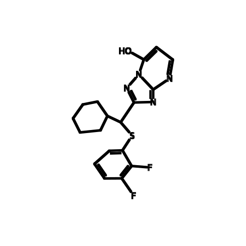 Oc1ccnc2nc(C(Sc3cccc(F)c3F)C3CCCCC3)nn12